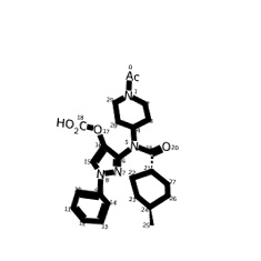 CC(=O)N1CCC(N(c2nn(-c3ccccc3)cc2OC(=O)O)C(=O)[C@H]2CC[C@H](C)CC2)CC1